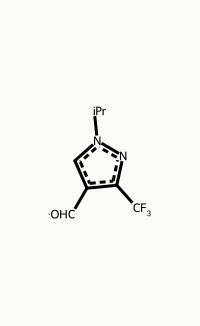 CC(C)n1cc([C]=O)c(C(F)(F)F)n1